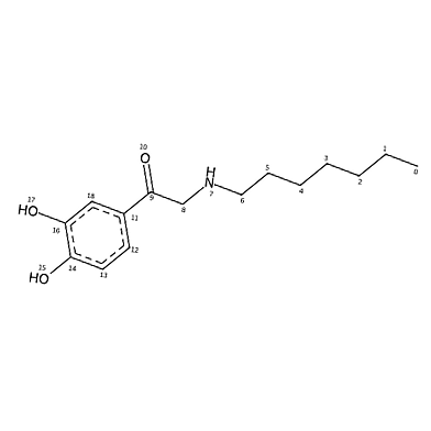 CCCCCCCNCC(=O)c1ccc(O)c(O)c1